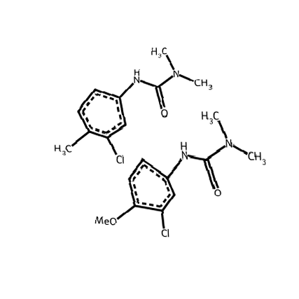 COc1ccc(NC(=O)N(C)C)cc1Cl.Cc1ccc(NC(=O)N(C)C)cc1Cl